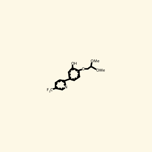 COC(COc1ccc(-c2ccc(C(F)(F)F)cn2)cc1O)OC